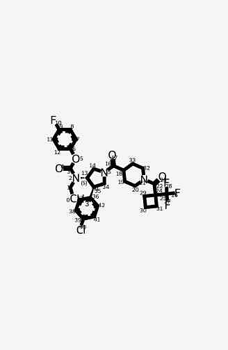 CCN(C(=O)Oc1ccc(F)cc1)[C@@H]1CN(C(=O)C2CCN(C(=O)C3(C(F)(F)F)CCC3)CC2)C[C@H]1c1ccc(Cl)cc1